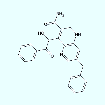 NC(=O)C1=C(C(O)C(=O)c2ccccc2)c2ncc(Cc3ccccc3)cc2NC1